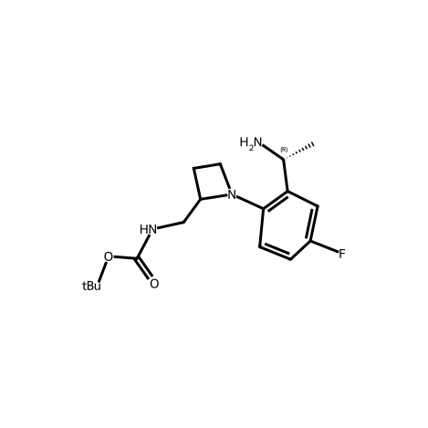 C[C@@H](N)c1cc(F)ccc1N1CCC1CNC(=O)OC(C)(C)C